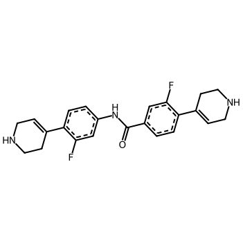 O=C(Nc1ccc(C2=CCNCC2)c(F)c1)c1ccc(C2=CCNCC2)c(F)c1